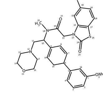 COc1cccc(C2C=CC(C(CN3CCOCC3)N(C)C(=O)Cn3c(=O)sc4ccc(Cl)cc43)=CC2)c1